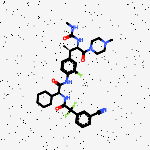 CNC(=O)N[C@@H](C(=O)N1CCN(C)CC1)[C@@H](C)c1ccc(NC(=O)[C@@H](NC(=O)C(F)(F)c2cccc(C#N)c2)C2CCCCC2)c(F)c1